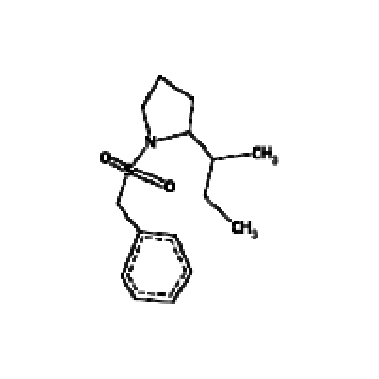 CCC(C)C1CCCN1S(=O)(=O)Cc1ccccc1